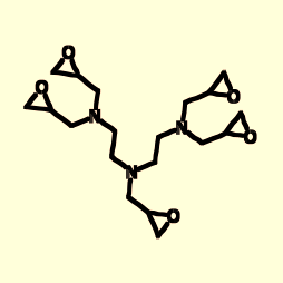 C1OC1CN(CCN(CC1CO1)CC1CO1)CCN(CC1CO1)CC1CO1